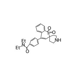 CCN(CC)C(=O)c1ccc(C2=CC3(CCNCC3)S(=O)(=O)c3ccccc32)cc1